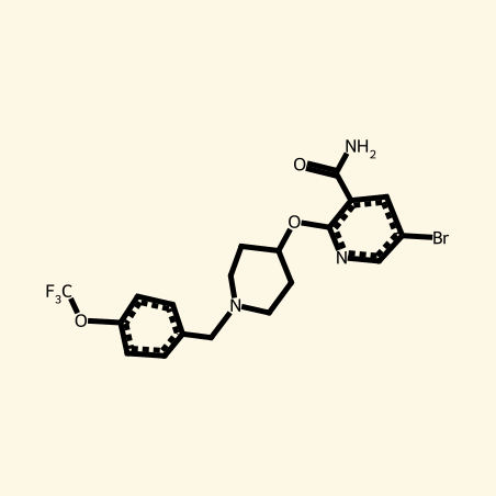 NC(=O)c1cc(Br)cnc1OC1CCN(Cc2ccc(OC(F)(F)F)cc2)CC1